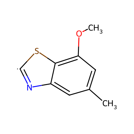 COc1cc(C)cc2n[c]sc12